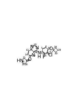 CC1(Oc2ccc(Nc3ncnc4ccc(O[C@H]5CCNC5)nc34)c(F)c2Cl)CCC1